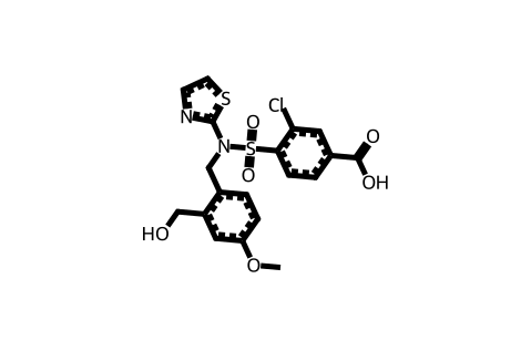 COc1ccc(CN(c2nccs2)S(=O)(=O)c2ccc(C(=O)O)cc2Cl)c(CO)c1